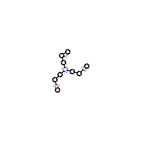 c1cc(-c2ccc(-c3nc(-c4ccc(-c5cccc(-c6nc7ccccc7o6)c5)cc4)nc(-c4ccc(-c5cccc6c5oc5ccccc56)cc4)n3)cc2)cc(-c2nc3ccccc3o2)c1